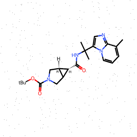 Cc1cccn2c(C(C)(C)NC(=O)[C@@H]3C4CN(C(=O)OC(C)(C)C)C[C@H]43)cnc12